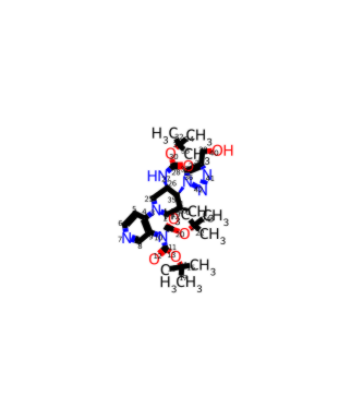 C[C@H]1CN(c2ccncc2N(C(=O)OC(C)(C)C)C(=O)OC(C)(C)C)C[C@@H](NC(=O)OC(C)(C)C)[C@H]1n1cc(CO)nn1